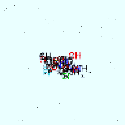 CNC(=O)[C@@H]1C[C@@H](O)C[N+]1(C)C1(c2ccc(OC)cc2)C(=O)N(S(=O)(=O)c2ccc(OC)cc2OC(F)(F)F)c2ccc(Cl)cc21